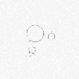 CC[C@H]1OC(=O)[C@H](C)[C@@H](O[C@H]2C[C@@](C)(OC)[C@@](C)(O)[C@H](C)O2)[C@H](C)[C@@H](O[C@@H]2O[C@H](C)CC(NC)[C@H]2O)[C@](C)(O)C[C@@H](C)CN[C@H](C)[C@@H](O)[C@]1(C)O